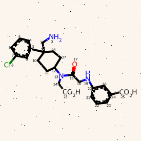 NCC1(c2cccc(Cl)c2)CCC(N(CC(=O)O)C(=O)CNc2cccc(C(=O)O)c2)CC1